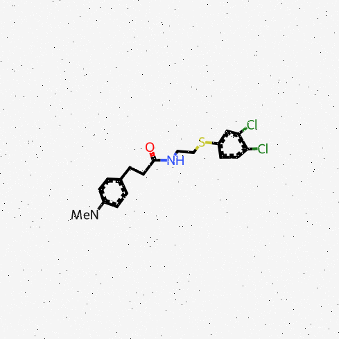 CNc1ccc(CCC(=O)NCCSc2ccc(Cl)c(Cl)c2)cc1